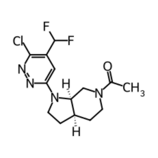 CC(=O)N1CC[C@H]2CCN(c3cc(C(F)F)c(Cl)nn3)[C@H]2C1